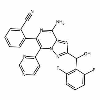 N#Cc1ccccc1-c1nc(N)c2nc(C(O)c3c(F)cccc3F)nn2c1-c1ccncn1